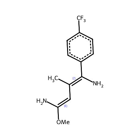 CO/C(N)=C/C(C)=C(\N)c1ccc(C(F)(F)F)cc1